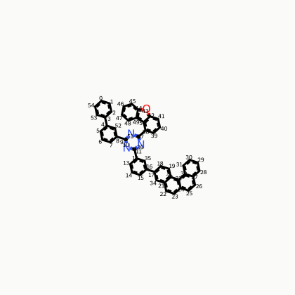 c1ccc(-c2cccc(-c3nc(-c4cccc(-c5ccc6c(ccc7ccc8ccccc8c76)c5)c4)nc(-c4cccc5oc6ccccc6c45)n3)c2)cc1